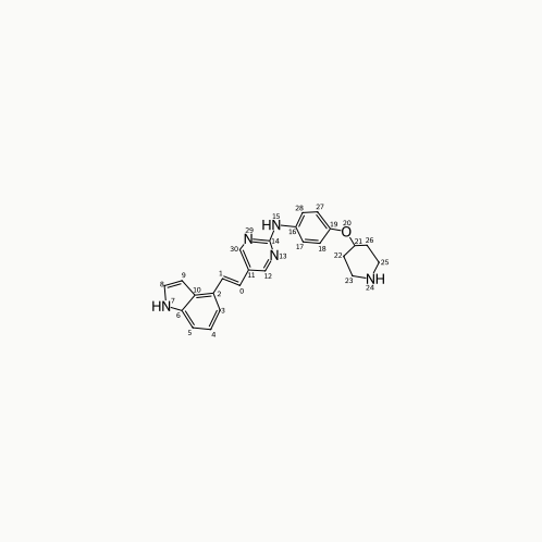 C(=Cc1cccc2[nH]ccc12)c1cnc(Nc2ccc(OC3CCNCC3)cc2)nc1